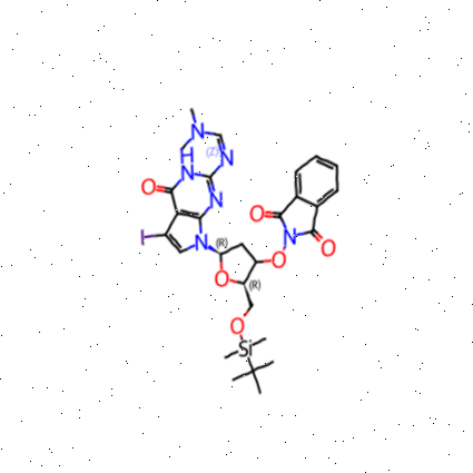 CN(C)/C=N\c1nc2c(c(I)cn2[C@H]2CC(ON3C(=O)c4ccccc4C3=O)[C@@H](CO[Si](C)(C)C(C)(C)C)O2)c(=O)[nH]1